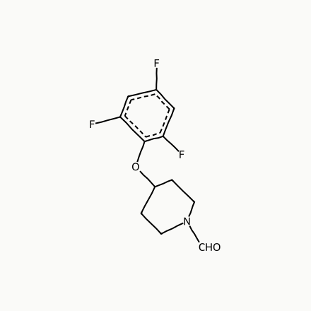 O=CN1CCC(Oc2c(F)cc(F)cc2F)CC1